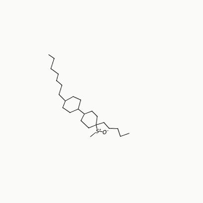 CCCCCCCC1CCC(C2CCC(CCCCC)([S+](C)[O-])CC2)CC1